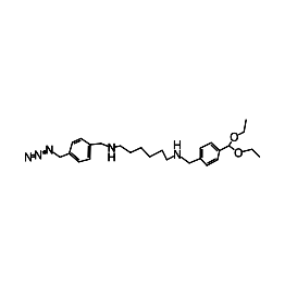 CCOC(OCC)c1ccc(CNCCCCCCNCc2ccc(CN=[N+]=[N-])cc2)cc1